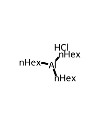 CCCCC[CH2][Al]([CH2]CCCCC)[CH2]CCCCC.Cl